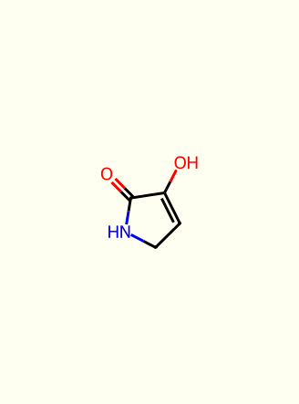 O=C1NCC=C1O